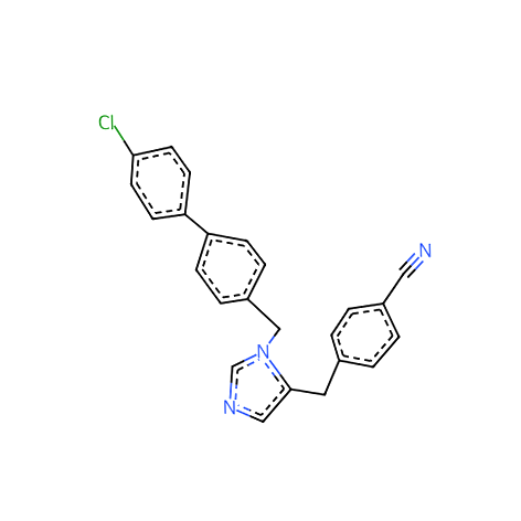 N#Cc1ccc(Cc2cncn2Cc2ccc(-c3ccc(Cl)cc3)cc2)cc1